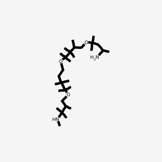 CNC(C)(C)C(C)COC(C)(C)C(C)(C)CCOC(C)(C)C(C)(C)C(C)COC(C)(C)CC(C)N